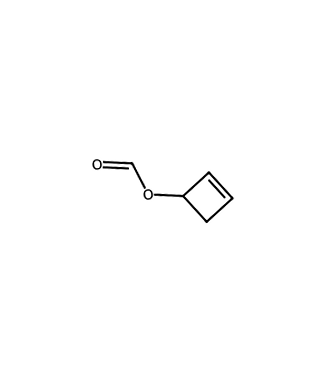 O=COC1C=CC1